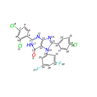 O=c1[nH]c(-c2ccc(Cl)cc2Cl)nc2nc(-c3ccc(Cl)cc3)n(-c3cc(F)cc(F)c3)c12